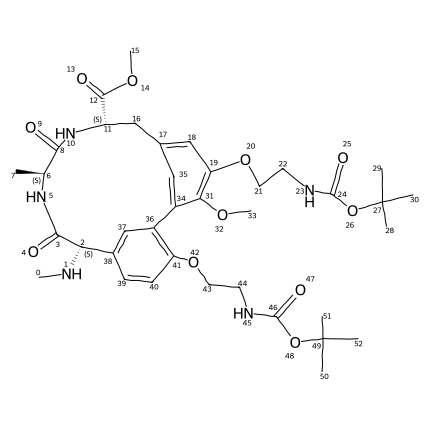 CN[C@@H]1C(=O)N[C@@H](C)C(=O)N[C@H](C(=O)OC)Cc2cc(OCCNC(=O)OC(C)(C)C)c(OC)c(c2)-c2cc1ccc2OCCNC(=O)OC(C)(C)C